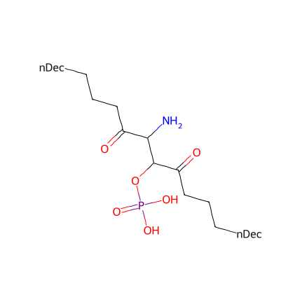 CCCCCCCCCCCCCC(=O)C(N)C(OP(=O)(O)O)C(=O)CCCCCCCCCCCCC